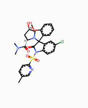 COc1ccccc1C1(N2C[C@H](O)C[C@H]2C(=O)N(C)C)C(=O)N(S(=O)(=O)c2ccc(C)cn2)c2ccc(Cl)cc21